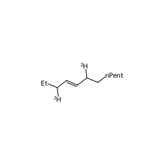 [2H]C(C=CC([2H])CCCCCC)CC